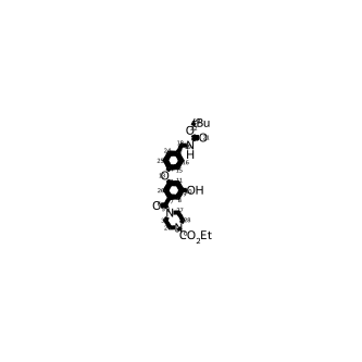 CCOC(=O)N1CCN(C(=O)c2cc(O)cc(Oc3ccc(CNC(=O)OC(C)(C)C)cc3)c2)CC1